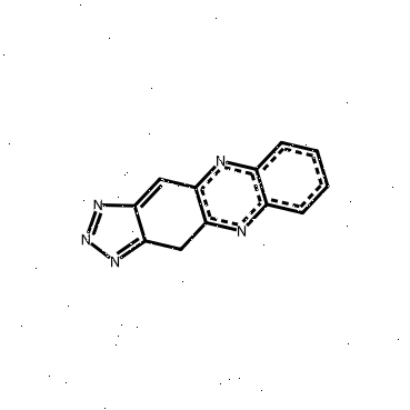 C1=C2N=NN=C2Cc2nc3ccccc3nc21